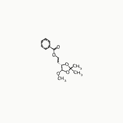 COC1OC(C)(C)O[C@H]1/C=C/OC(=O)c1ccccc1